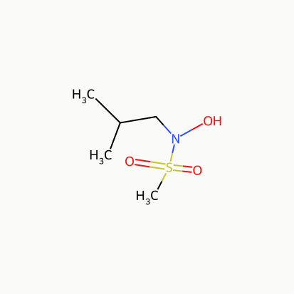 CC(C)CN(O)S(C)(=O)=O